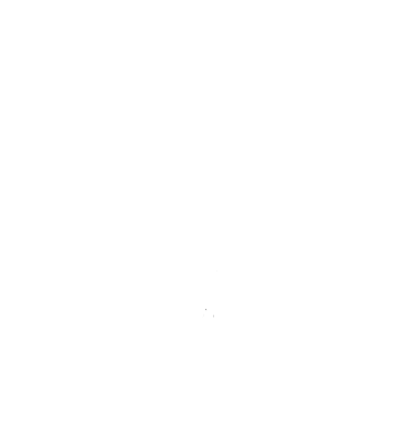 CC(=O)C(C)=C(C)c1ccccc1